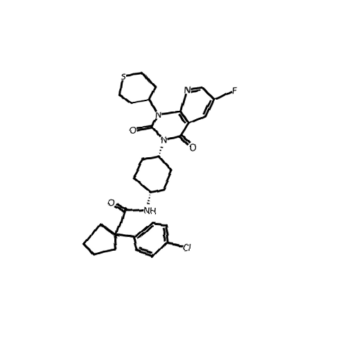 O=C(N[C@H]1CC[C@@H](n2c(=O)c3cc(F)cnc3n(C3CCSCC3)c2=O)CC1)C1(c2ccc(Cl)cc2)CCCC1